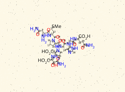 CSCC[C@H](NC(=O)[C@@H](N)CC(N)=O)C(=O)N1CCC[C@H]1C(=O)N[C@@H](Cc1c[nH]cn1)C(=O)NCC(=O)N[C@H](CCC(N)=O)C(=O)O.NC(=O)[C@H](O)[C@@H](N)C(=O)O.O=C(O)[C@H]1CCCN1